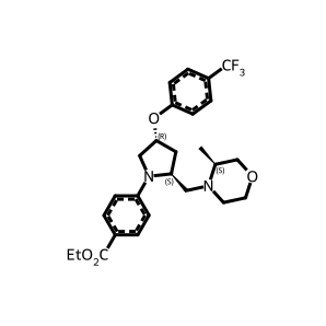 CCOC(=O)c1ccc(N2C[C@H](Oc3ccc(C(F)(F)F)cc3)C[C@H]2CN2CCOC[C@@H]2C)cc1